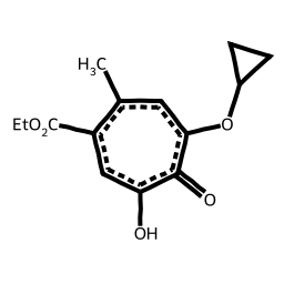 CCOC(=O)c1cc(O)c(=O)c(OC2CC2)cc1C